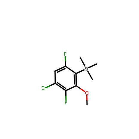 COc1c(F)c(Cl)cc(F)c1[Si](C)(C)C